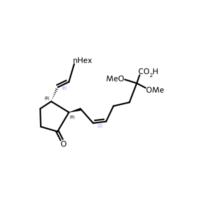 CCCCCC/C=C/[C@H]1CCC(=O)[C@@H]1C/C=C\CCC(OC)(OC)C(=O)O